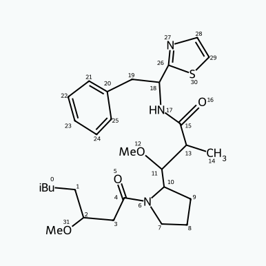 CCC(C)CC(CC(=O)N1CCCC1C(OC)C(C)C(=O)NC(Cc1ccccc1)c1nccs1)OC